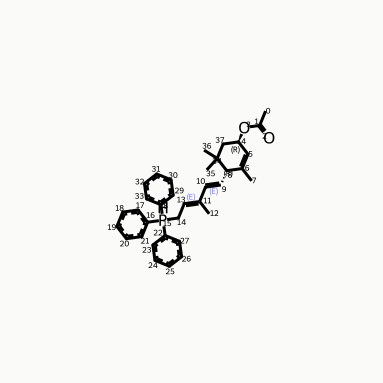 CC(=O)O[C@H]1C=C(C)[C@H](/C=C/C(C)=C/C[PH](c2ccccc2)(c2ccccc2)c2ccccc2)C(C)(C)C1